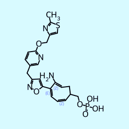 Cc1nc(COc2ccc(Cc3cc(C4=C/C=C\C(COP(=O)(O)O)C\C=C\4N)on3)cn2)cs1